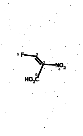 O=C(O)/C(=C\F)[N+](=O)[O-]